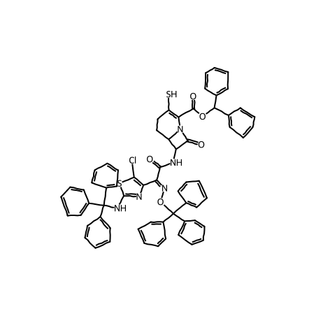 O=C(NC1C(=O)N2C(C(=O)OC(c3ccccc3)c3ccccc3)=C(S)CCC12)C(=NOC(c1ccccc1)(c1ccccc1)c1ccccc1)c1nc(NC(c2ccccc2)(c2ccccc2)c2ccccc2)sc1Cl